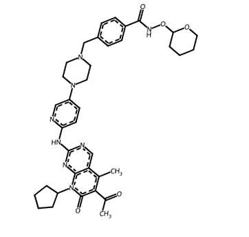 CC(=O)c1c(C)c2cnc(Nc3ccc(N4CCN(Cc5ccc(C(=O)NOC6CCCCO6)cc5)CC4)cn3)nc2n(C2CCCC2)c1=O